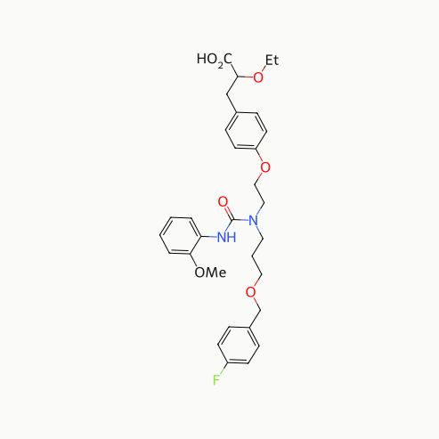 CCOC(Cc1ccc(OCCN(CCCOCc2ccc(F)cc2)C(=O)Nc2ccccc2OC)cc1)C(=O)O